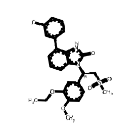 CCOc1cc([C@H](CS(C)(=O)=O)n2c(=O)[nH]c3c(-c4cccc(F)c4)cccc32)ccc1OC